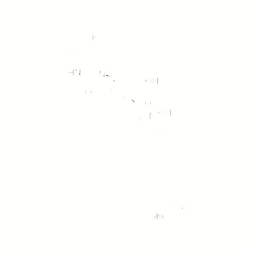 CCCCC(=O)c1ccc(CCCOP(=O)(O)OC[C@H]2O[C@@H](n3cc(F)c(=O)[nH]c3=O)C[C@@H]2O)cc1